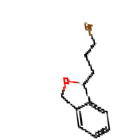 BrCCCC1OCc2ccccc21